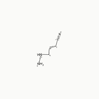 N#CC=CCNN